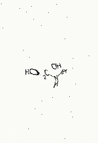 CC(C)NC(=O)O.Cl